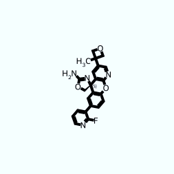 CC1(c2cnc3c(c2)[C@]2(COC(N)=N2)c2cc(-c4cccnc4F)ccc2O3)COC1